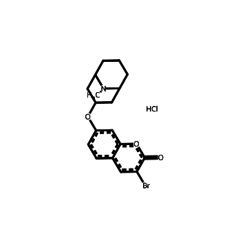 CN1C2CCCC1CC(Oc1ccc3cc(Br)c(=O)oc3c1)C2.Cl